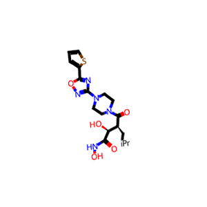 CC(C)C[C@H](C(=O)N1CCN(c2noc(-c3cccs3)n2)CC1)[C@H](O)C(=O)NO